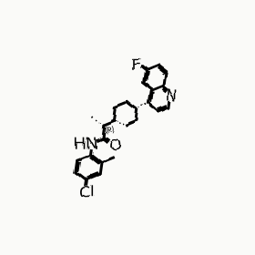 Cc1cc(Cl)ccc1NC(=O)[C@H](C)[C@H]1CC[C@@H](c2ccnc3ccc(F)cc32)CC1